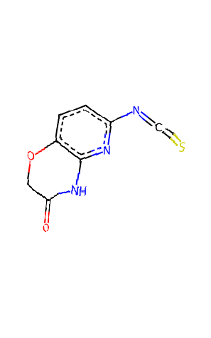 O=C1COc2ccc(N=C=S)nc2N1